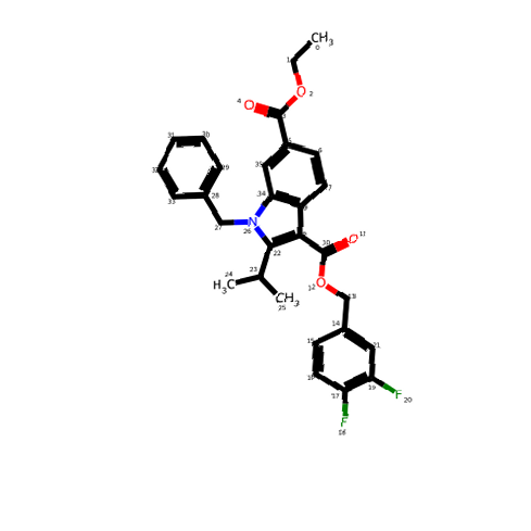 CCOC(=O)c1ccc2c(C(=O)OCc3ccc(F)c(F)c3)c(C(C)C)n(Cc3ccccc3)c2c1